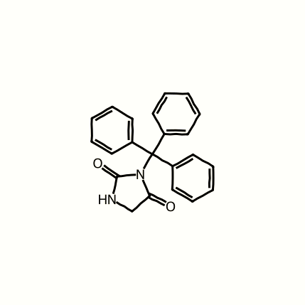 O=C1CNC(=O)N1C(c1ccccc1)(c1ccccc1)c1ccccc1